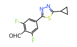 O=Cc1c(F)cc(-c2nnc(C3CC3)s2)cc1F